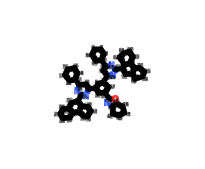 c1ccc(-c2cc(-c3cc(-c4cc(-c5ccccc5)nc(-c5cc6ccccc6c6ccccc56)n4)cc(-c4nc5ccccc5o4)c3)nc(-c3cc4ccccc4c4ccccc34)n2)cc1